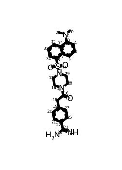 CN(C)c1cccc2c(S(=O)(=O)N3CCN(C(=O)Cc4ccc(C(=N)N)cc4)CC3)cccc12